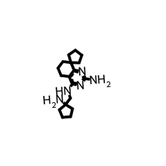 Nc1nc(NCC2(N)CCCC2)c2c(n1)C1(CCCC1)CCC2